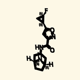 O=C(NC1C[C@H]2CC[C@@H](C1)N2)c1cc([C@H]2C[C@@H]2F)on1